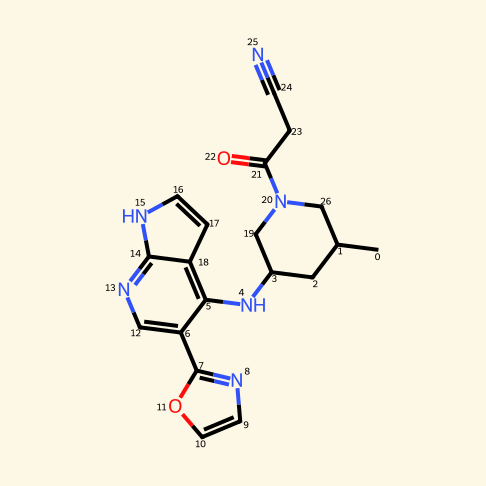 CC1CC(Nc2c(-c3ncco3)cnc3[nH]ccc23)CN(C(=O)CC#N)C1